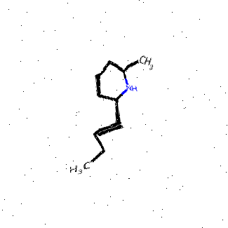 CC/C=C/C1CCCC(C)N1